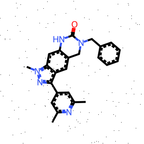 [CH2]n1nc(-c2cc(C)nc(C)c2)c2cc3c(cc21)NC(=O)N(Cc1ccccc1)C3